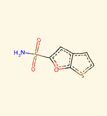 NS(=O)(=O)c1cc2ccsc2o1